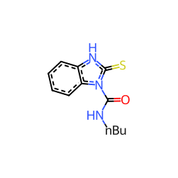 CCCCNC(=O)n1c(=S)[nH]c2ccccc21